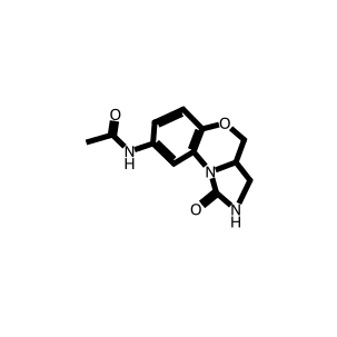 CC(=O)Nc1ccc2c(c1)N1C(=O)NCC1CO2